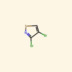 Brc1csnc1Br